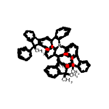 CC1(C)c2ccccc2-c2ccc(N(c3ccccc3-c3ccc4c(c3)-c3ccccc3C4(C)c3ccccc3)c3ccccc3-c3cccc4c3-c3ccccc3C4(C)C)cc21